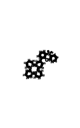 C[Si]1(C)c2cccnc2Oc2c(C3=CN4B5C=CC=CN5B5C=CC=CN5B5C=CC=CN5B4C=C3)cccc21